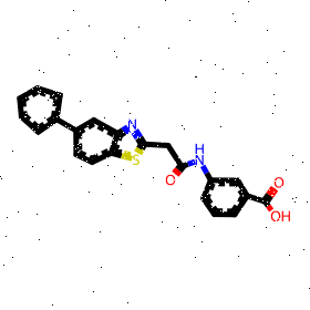 O=C(Cc1nc2cc(-c3ccccc3)ccc2s1)Nc1cccc(C(=O)O)c1